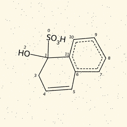 O=S(=O)(O)C1(O)CC=Cc2ccccc21